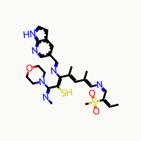 C/C=C(\C=N/C=C(C)/C=C(C)/C(/N=C/c1cnc2[nH]ccc2c1)=C(S)/C(=N\C)N1CCOCC1)S(C)(=O)=O